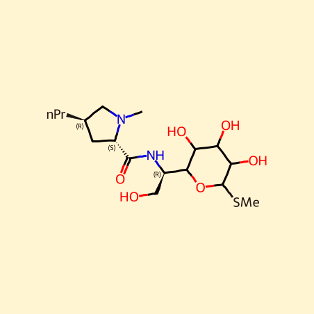 CCC[C@@H]1C[C@@H](C(=O)N[C@H](CO)C2OC(SC)C(O)C(O)C2O)N(C)C1